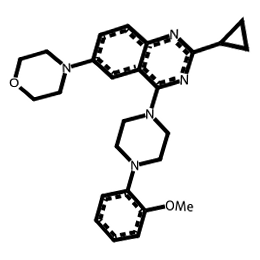 COc1ccccc1N1CCN(c2nc(C3CC3)nc3ccc(N4CCOCC4)cc23)CC1